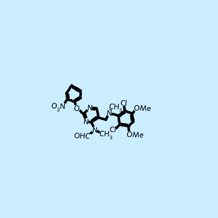 COc1cc(OC)c(Cl)c(N(C)Cc2cnc(Oc3ccccc3[N+](=O)[O-])nc2N(C)C=O)c1Cl